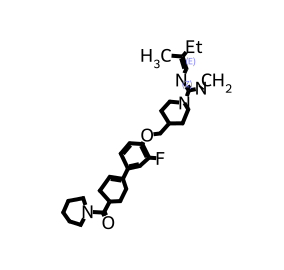 C=N/C(=N\C=C(/C)CC)N1CCC(COc2ccc(C3=CCC(C(=O)N4CCCCC4)CC3)cc2F)CC1